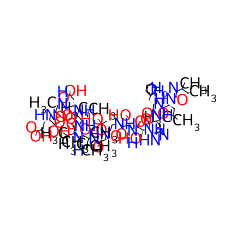 CC[C@H](C)[C@H](N)C(=O)N[C@@H](CC(C)C)C(=O)N[C@@H](Cc1ccccc1)C(=O)N[C@@H](Cc1c[nH]cn1)C(=O)N[C@@H](CO)C(=O)N[C@@H](CO)C(=O)N[C@@H](CC(=O)O)C(=O)NCC(=O)N(C)[C@H](C(=O)N[C@H](C(=O)N[C@@H](CC(C)C)C(=O)N[C@@H](CC(=O)O)C(=O)N[C@@H](C)C(=O)N[C@@H](CCC(=O)O)C(=O)O)C(C)C)C(C)(C)C